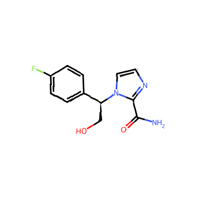 NC(=O)c1n[c]cn1[C@@H](CO)c1ccc(F)cc1